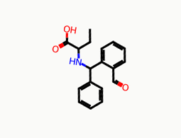 CCC(NC(c1ccccc1)c1ccccc1C=O)C(=O)O